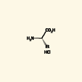 CC[C@H](N)C(=O)O.Cl